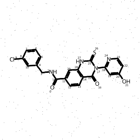 O=C(NCc1cccc(Cl)c1)c1ccc2c(=O)n(-c3cc(O)ccn3)c(=S)[nH]c2c1